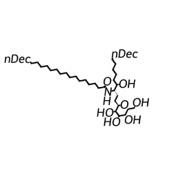 CCCCCCCCCCCCCCCCCCCCCCCCCC(=O)N[C@@H](CC[C@H]1OC(CO)[C@H](O)C(O)C1O)[C@H](O)CCCCCCCCCCCCCCC